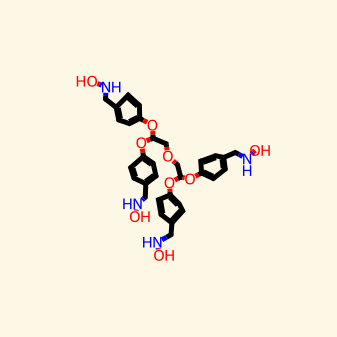 ONCc1ccc(OC(COCC(Oc2ccc(CNO)cc2)Oc2ccc(CNO)cc2)Oc2ccc(CNO)cc2)cc1